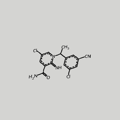 CC(c1cc(Cl)cc(C#N)c1)n1cc(Cl)cc(C(N)=O)c1=N